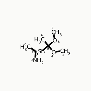 CCN.COC(C)([SiH3])OC